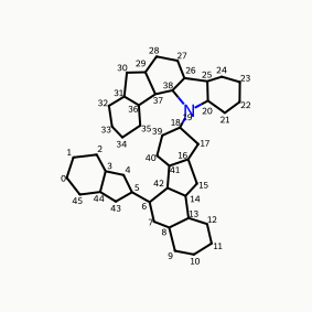 C1CCC2CC(C3CC4CCCCC4C4CC5CC(N6C7CCCCC7C7CCC8CC9CCCCC9C8C76)CCC5C34)CC2C1